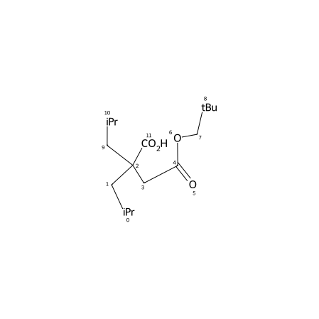 CC(C)CC(CC(=O)OCC(C)(C)C)(CC(C)C)C(=O)O